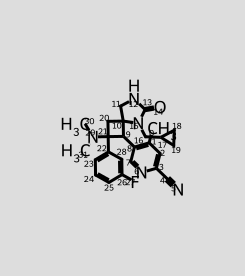 Cc1cc(C#N)ncc1C1C2(CNC(=O)N2CC2CC2)CC1(c1cccc(F)c1)N(C)C